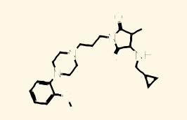 COc1ccccc1N1CCN(CCCN2C(=O)C(C)C(NCC3CC3)C2=O)CC1